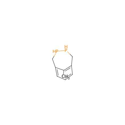 Cc1c2cccc1CPPC2